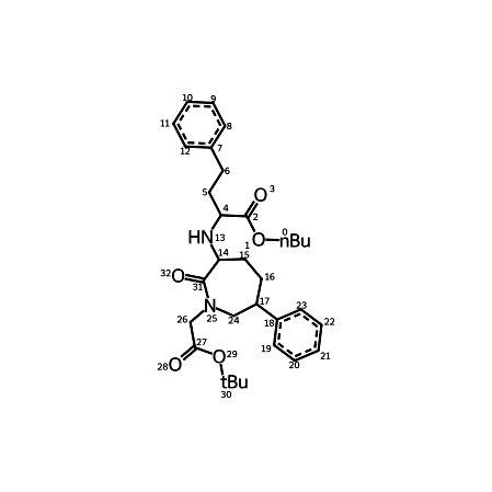 CCCCOC(=O)C(CCc1ccccc1)NC1CCC(c2ccccc2)CN(CC(=O)OC(C)(C)C)C1=O